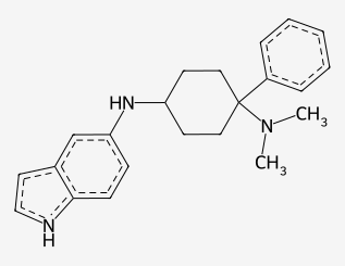 CN(C)C1(c2ccccc2)CCC(Nc2ccc3[nH]ccc3c2)CC1